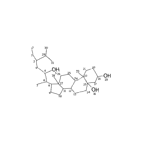 CCC(CC(O)C(C)C1CCC2C3CCC4(O)CC(O)CCC4(C)C3CCC12C)C(C)C